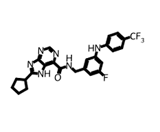 O=C(NCc1cc(F)cc(Nc2ccc(C(F)(F)F)cc2)c1)c1ncnc2nc(C3CCCC3)[nH]c12